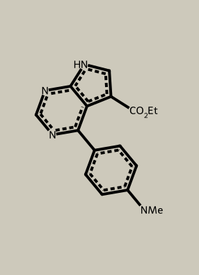 CCOC(=O)c1c[nH]c2ncnc(-c3ccc(NC)cc3)c12